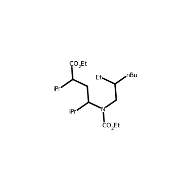 CCCCC(CC)CN(C(=O)OCC)C(CC(C(=O)OCC)C(C)C)C(C)C